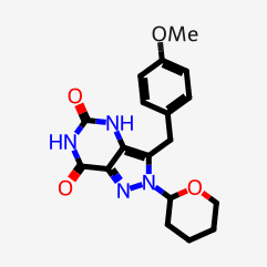 COc1ccc(Cc2c3[nH]c(=O)[nH]c(=O)c3nn2C2CCCCO2)cc1